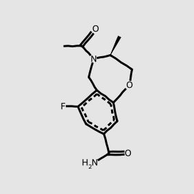 CC(=O)N1Cc2c(F)cc(C(N)=O)cc2OC[C@@H]1C